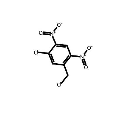 O=[N+]([O-])c1cc([N+](=O)[O-])c(CCl)cc1Cl